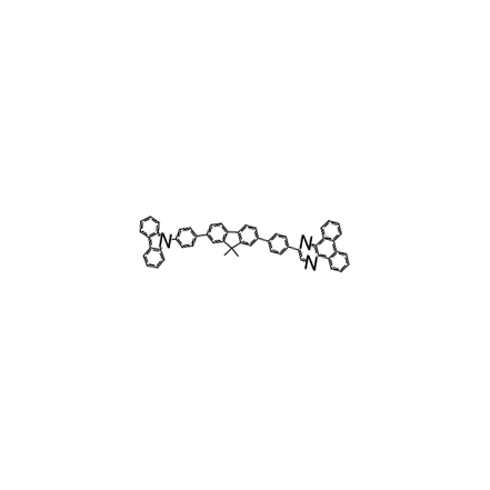 CC1(C)c2cc(-c3ccc(-c4cnc5c6ccccc6c6ccccc6c5n4)cc3)ccc2-c2ccc(-c3ccc(-n4c5ccccc5c5ccccc54)cc3)cc21